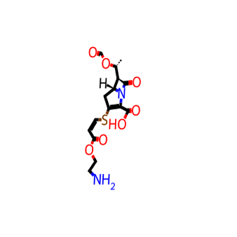 C[C@@H](OC=O)[C@H]1C(=O)N2C(C(=O)O)=C(S/C=C\C(=O)OCCN)C[C@H]12